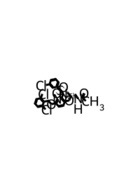 CC(=O)NC[C@H]1CN(S(=O)(=O)c2cccc(Cl)c2)c2nc(OCc3c(Cl)cccc3Cl)ccc2O1